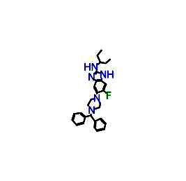 CCC(CC)Nc1nc2cc(N3CCN(C(c4ccccc4)c4ccccc4)CC3)c(F)cc2[nH]1